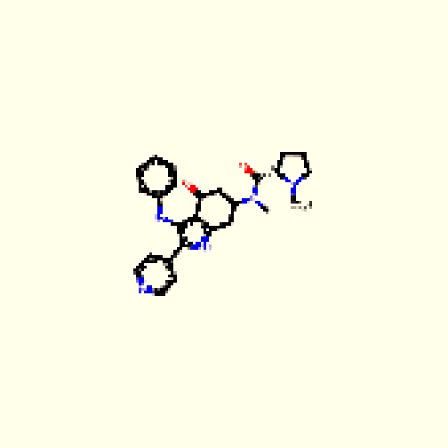 CN(C(=O)[C@@H]1CCCN1C(=O)O)C1CC(=O)c2c([nH]c(-c3ccncc3)c2Nc2ccccc2)C1